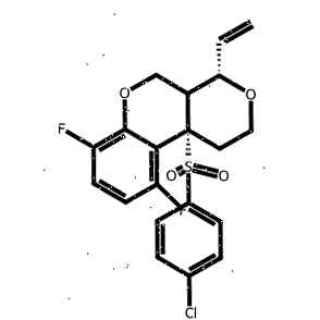 C=C[C@@H]1OCC[C@@]2(S(=O)(=O)c3ccc(Cl)cc3)c3c(F)ccc(F)c3OCC12